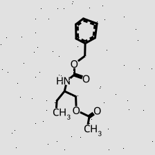 CCC(COC(C)=O)NC(=O)OCc1ccccc1